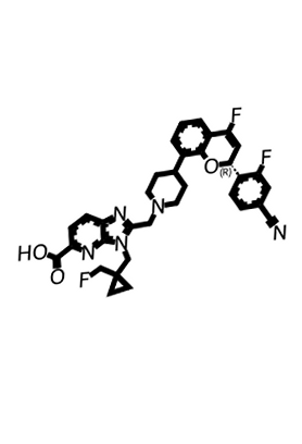 N#Cc1ccc([C@H]2C=C(F)c3cccc(C4CCN(Cc5nc6ccc(C(=O)O)nc6n5CC5(CF)CC5)CC4)c3O2)c(F)c1